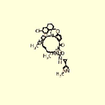 CO[C@H]1/C=C/C[C@H](C)C[S@@](=O)(NC(=O)N[C@@H]2CC2c2cnn(C)c2)=NC(=O)c2ccc3c(c2)N(C[C@@H]2CC[C@H]21)C[C@@]1(CCCc2cc(Cl)ccc21)CO3